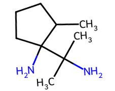 CC1CCCC1(N)C(C)(C)N